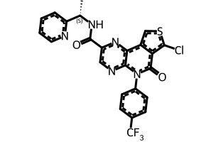 C[C@H](NC(=O)c1cnc2c(n1)c1csc(Cl)c1c(=O)n2-c1ccc(C(F)(F)F)cc1)c1ccccn1